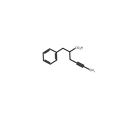 CC#CCC(Cc1ccccc1)C(=O)O